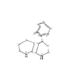 C1CCNCC1.C1CCNCC1.c1cnnnc1